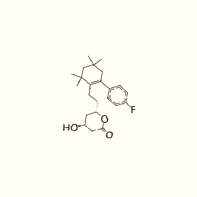 CC1(C)CC(c2ccc(F)cc2)=C(CC[C@H]2C[C@H](O)CC(=O)O2)C(C)(C)C1